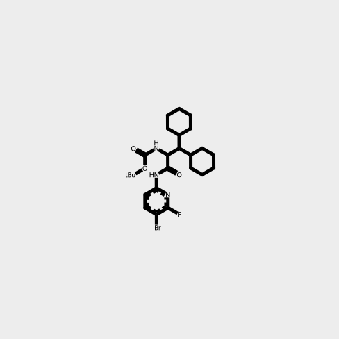 CC(C)(C)OC(=O)NC(C(=O)Nc1ccc(Br)c(F)n1)C(C1CCCCC1)C1CCCCC1